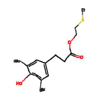 CCSCCOC(=O)CCc1cc(C(C)(C)C)c(O)c(C(C)(C)C)c1